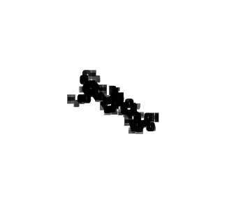 COc1ccc(CNc2nccn3c([C@H]4CN[C@H](CN5CCCC5C(=O)O)CO4)nc(Br)c23)c(OC)c1